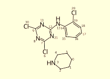 C1CCNCC1.Clc1nc(Cl)nc(Nc2ccccc2Cl)n1